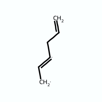 [CH2]/C=[C]/CC=C